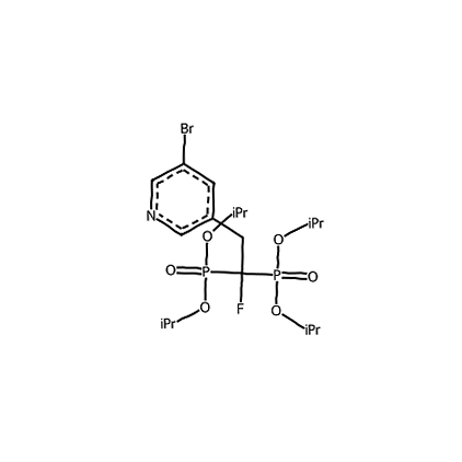 CC(C)OP(=O)(OC(C)C)C(F)(Cc1cncc(Br)c1)P(=O)(OC(C)C)OC(C)C